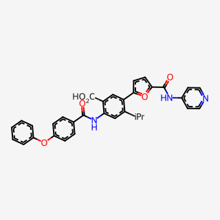 CC(C)c1cc(NC(=O)c2ccc(Oc3ccccc3)cc2)c(C(=O)O)cc1-c1ccc(C(=O)Nc2ccncc2)o1